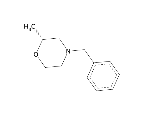 C[C@@H]1CN(Cc2ccccc2)CCO1